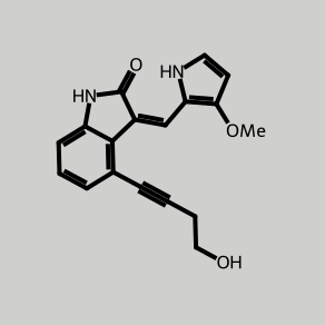 COc1cc[nH]c1/C=C1\C(=O)Nc2cccc(C#CCCO)c21